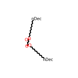 CCCCCCCCCCCCCCCCCCCCCCOC(=O)C=CC(=O)OCCCCCCCCCCCCCCCCCCCCCC